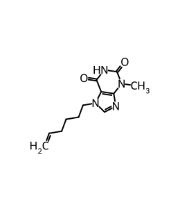 C=CCCCCn1cnc2c1c(=O)[nH]c(=O)n2C